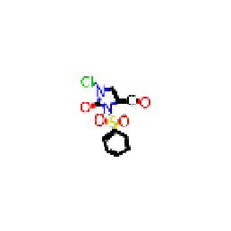 O=C=C1CN(Cl)C(=O)N1S(=O)(=O)c1ccccc1